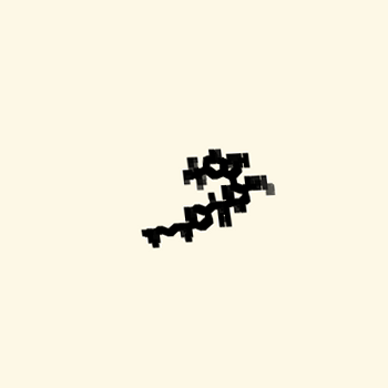 C[C@@H](Nc1ncc(N)c(-c2c[nH]c3ncc(C(F)(F)F)cc23)n1)c1ccc(N(C)CCCN(C)C)nc1